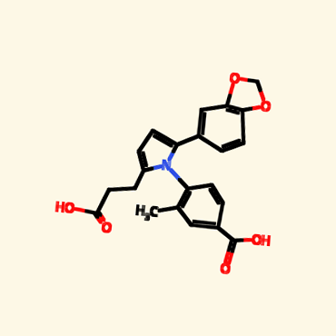 Cc1cc(C(=O)O)ccc1-n1c(CCC(=O)O)ccc1-c1ccc2c(c1)OCO2